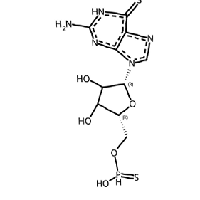 Nc1nc2c(ncn2[C@@H]2O[C@H](CO[PH](O)=S)C(O)C2O)c(=S)[nH]1